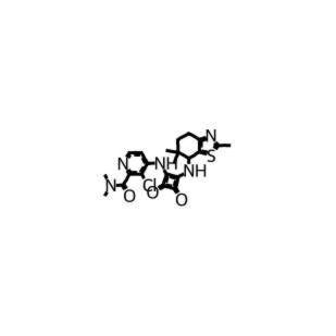 Cc1nc2c(s1)C(Nc1c(Nc3ccnc(C(=O)N(C)C)c3Cl)c(=O)c1=O)C(C)(C)CC2